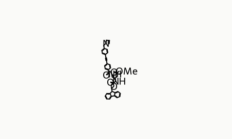 COC(=O)CC(CNC(=O)c1ccc(C#Cc2ccc(CN3CCC3)cc2)cc1)NC(=O)OCC1c2ccccc2-c2ccccc21